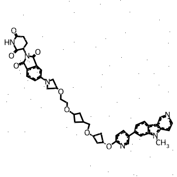 Cn1c2ccncc2c2ccc(-c3ccc(O[C@H]4C[C@H](OCC5CC(OCCOC6CN(c7ccc8c(c7)C(=O)N(C7CCC(=O)NC7=O)C8=O)C6)C5)C4)nc3)cc21